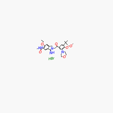 Br.CCOc1cc2c(cc1C(=O)NC)C(=N)N(CC(=O)c1cc(N3CCOCC3)c(OCOC)c(C(C)(C)C)c1)C2